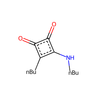 CCCCNc1c(CCCC)c(=O)c1=O